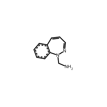 NCN1N=CC=Cc2ccccc21